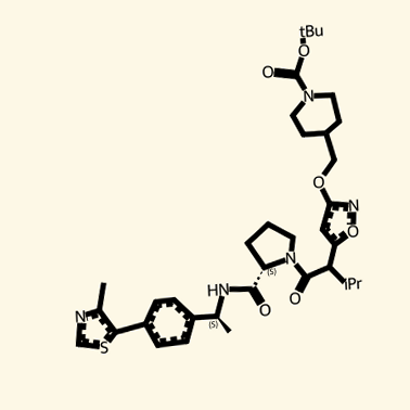 Cc1ncsc1-c1ccc([C@H](C)NC(=O)[C@@H]2CCCN2C(=O)C(c2cc(OCC3CCN(C(=O)OC(C)(C)C)CC3)no2)C(C)C)cc1